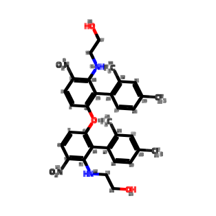 O=[N+]([O-])c1ccc(Oc2ccc([N+](=O)[O-])c(NCCO)c2-c2ccc(C(F)(F)F)cc2C(F)(F)F)c(-c2ccc(C(F)(F)F)cc2C(F)(F)F)c1NCCO